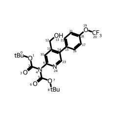 CC(C)(C)OC(=O)N(C(=O)OC(C)(C)C)c1cc(CO)c(-c2ccc(OC(F)(F)F)cc2)cn1